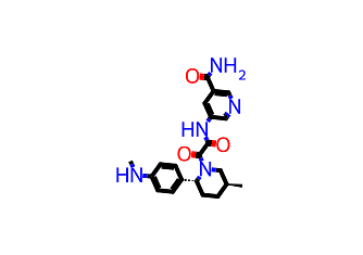 CNc1ccc([C@H]2CC[C@H](C)CN2C(=O)C(=O)Nc2cncc(C(N)=O)c2)cc1